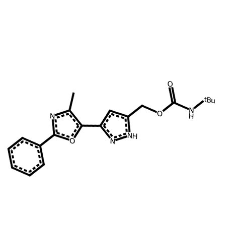 Cc1nc(-c2ccccc2)oc1-c1cc(COC(=O)NC(C)(C)C)[nH]n1